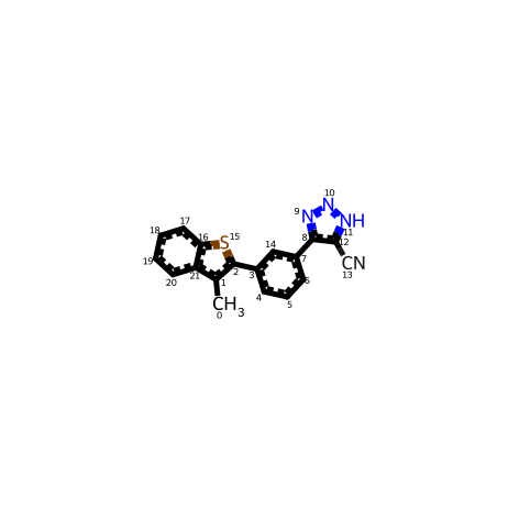 Cc1c(-c2cccc(-c3nn[nH]c3C#N)c2)sc2ccccc12